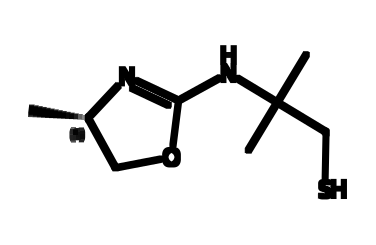 C[C@H]1COC(NC(C)(C)CS)=N1